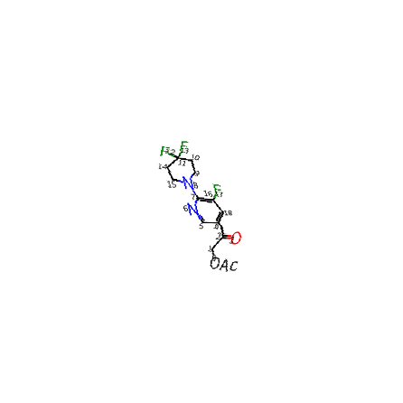 CC(=O)OCC(=O)c1cnc(N2CCC(F)(F)CC2)c(F)c1